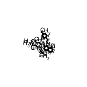 CCc1ccc(CCOc2c(OCCCC(C)C)c(OCCCC(C)C)c(OC(C)=O)c3cccc(Cl)c23)cc1